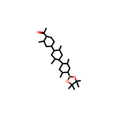 CC(=O)C1CCC(C2CC(C)C(C3CC(C)C(B4OC(C)(C)C(C)(C)O4)CC3C)CC2C)CC1C